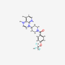 Cc1ccnc2c1N(C)C=CN2C1CCN(C(=O)c2ccc(OC(F)(F)F)cc2)CC1